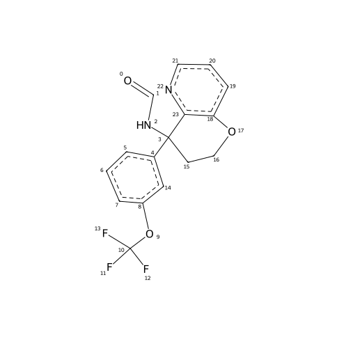 O=CNC1(c2cccc(OC(F)(F)F)c2)CCOc2cccnc21